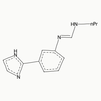 CCCNC=Nc1cccc(-c2ncc[nH]2)c1